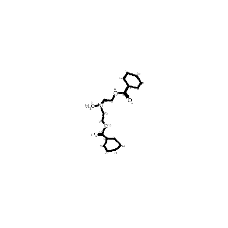 CN(CCOC(=O)C1CCCCC1)CCOC(=O)C1CCCCC1